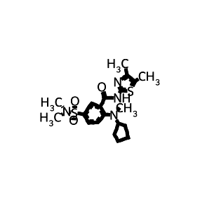 Cc1nc(NC(=O)c2cc(S(=O)(=O)N(C)C)ccc2N(C)C2CCCC2)sc1C